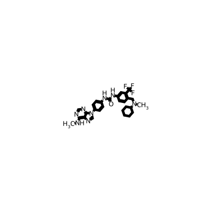 CNc1ncnc2c1ncn2-c1ccc(NC(=O)Nc2ccc(CN(C)C3CCCCC3)c(C(F)(F)F)c2)cc1